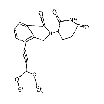 CCOC(C#Cc1cccc2c1CN(C1CCC(=O)NC1=O)C2=O)OCC